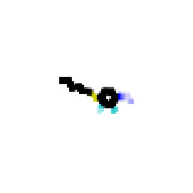 CCCCCCSc1ccc(N)c(F)c1F